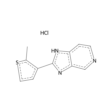 Cc1sccc1-c1nc2cnccc2[nH]1.Cl